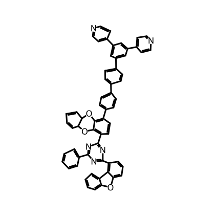 C1=CC2Oc3c(-c4ccc(-c5ccc(-c6cc(-c7ccncc7)cc(-c7ccncc7)c6)cc5)cc4)ccc(-c4nc(-c5ccccc5)nc(-c5cccc6oc7ccccc7c56)n4)c3OC2C=C1